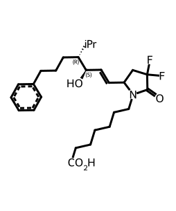 CC(C)[C@@H](CCCc1ccccc1)[C@H](O)C=CC1CC(F)(F)C(=O)N1CCCCCCC(=O)O